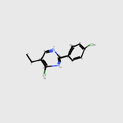 CCc1cnc(-c2ccc(Cl)cc2)nc1Cl